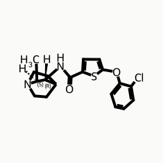 C[C@H]1[C@H](NC(=O)c2ccc(Oc3ccccc3Cl)s2)C2CCN1CC2